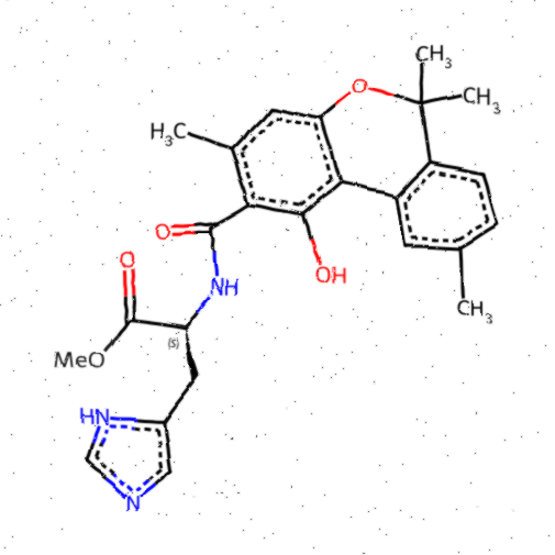 COC(=O)[C@H](Cc1cnc[nH]1)NC(=O)c1c(C)cc2c(c1O)-c1cc(C)ccc1C(C)(C)O2